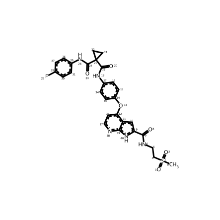 CS(=O)(=O)CCNC(=O)c1cc2c(Oc3ccc(NC(=O)C4(C(=O)Nc5ccc(F)cc5)CC4)cc3)ccnc2[nH]1